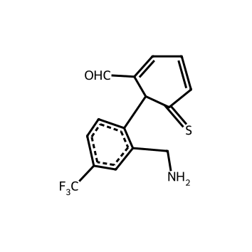 NCc1cc(C(F)(F)F)ccc1C1C(=S)C=CC=C1C=O